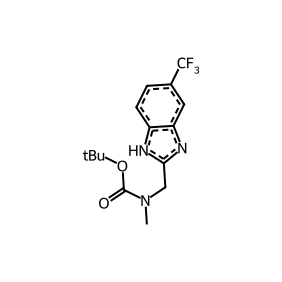 CN(Cc1nc2cc(C(F)(F)F)ccc2[nH]1)C(=O)OC(C)(C)C